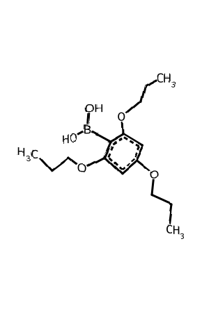 CCCOc1cc(OCCC)c(B(O)O)c(OCCC)c1